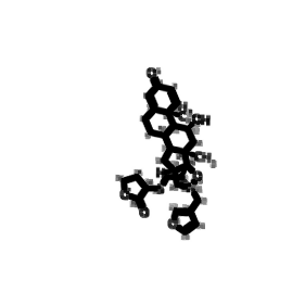 C[C@]12C=CC(=O)C=C1CCC1C2[C@@H](O)C[C@@]2(C)C1C[C@H]1CN(Cc3ccoc3)O[C@]12C(=O)CSC1CCOC1=O